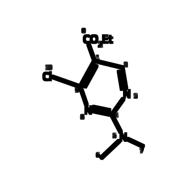 CCOC(=O)c1cnc(N(C)C)nc1Cl